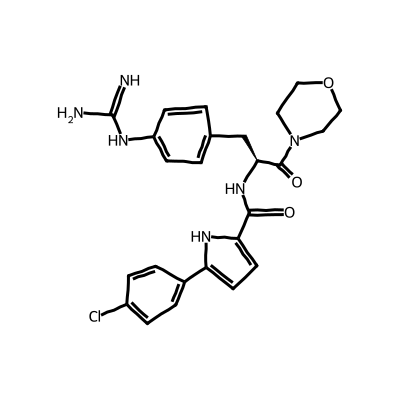 N=C(N)Nc1ccc(C[C@H](NC(=O)c2ccc(-c3ccc(Cl)cc3)[nH]2)C(=O)N2CCOCC2)cc1